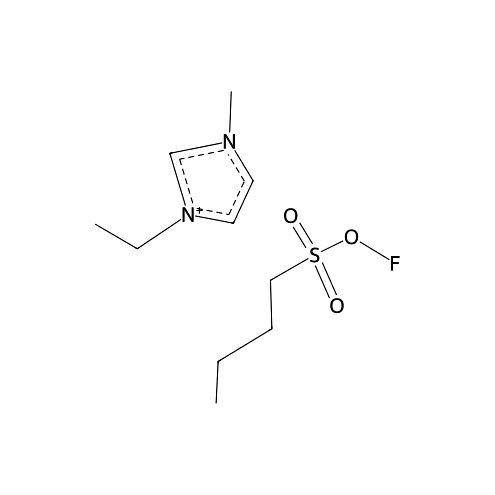 CCCCS(=O)(=O)OF.CC[n+]1ccn(C)c1